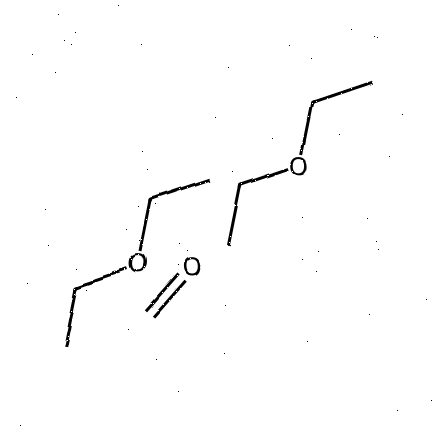 C=O.CCOCC.CCOCC